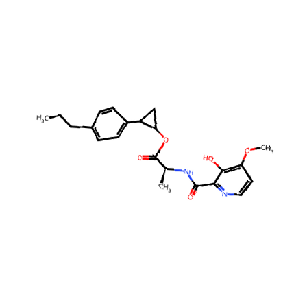 CCCc1ccc(C2CC2OC(=O)[C@H](C)NC(=O)c2nccc(OC)c2O)cc1